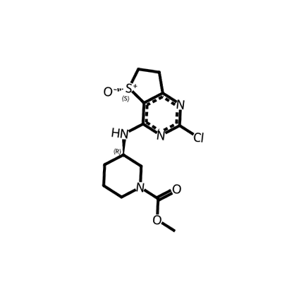 COC(=O)N1CCC[C@@H](Nc2nc(Cl)nc3c2[S@+]([O-])CC3)C1